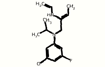 C=CN/C(=C\C)CN(c1cc(F)cc(Cl)c1)C(C)C